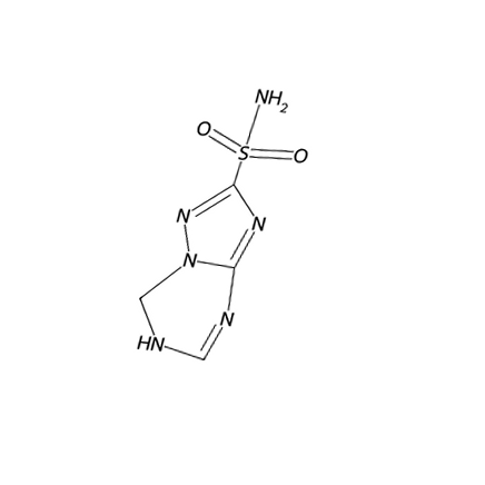 NS(=O)(=O)c1nc2n(n1)CNC=N2